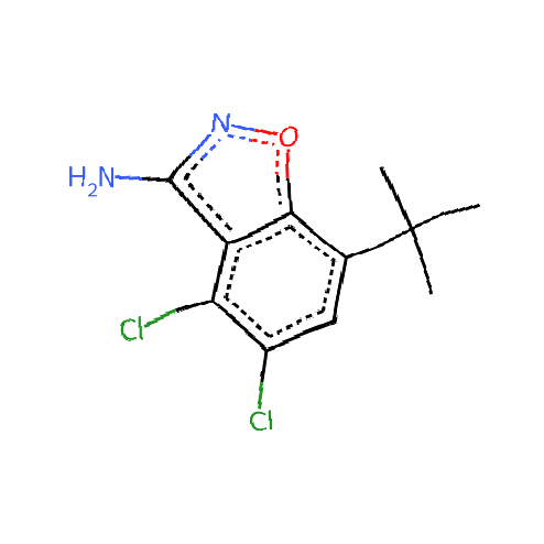 CC(C)(C)c1cc(Cl)c(Cl)c2c(N)noc12